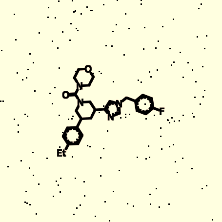 CCc1ccc(C2CC(c3cn(Cc4ccc(F)cc4)cn3)CN(C(=O)N3CCOCC3)C2)cc1